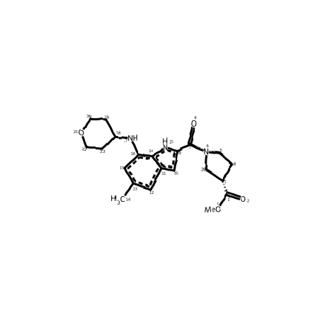 COC(=O)[C@H]1CCN(C(=O)c2cc3cc(C)cc(NC4CCOCC4)c3[nH]2)C1